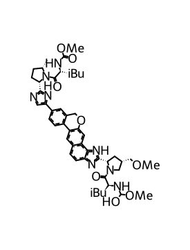 CC[C@H](C)[C@H](NC(O)OC)C(=O)N1C[C@@H](COC)C[C@H]1c1nc2ccc3cc4c(cc3c2[nH]1)OCc1cc(-c2cnc([C@@H]3CC[C@H](C)N3C(=O)[C@@H](NC(=O)OC)[C@@H](C)CC)[nH]2)ccc1-4